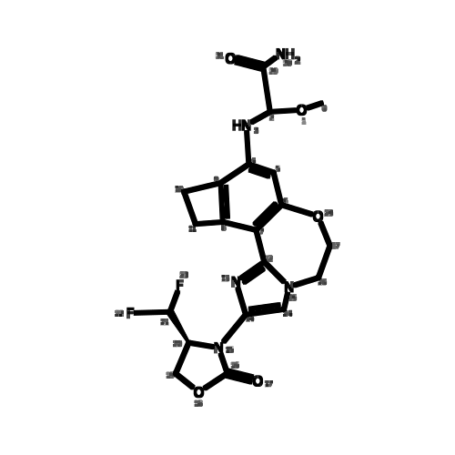 COC(Nc1cc2c(c3c1CC3)-c1nc(N3C(=O)OC[C@H]3C(F)F)cn1CCO2)C(N)=O